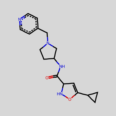 O=C(NC1CCN(Cc2ccncc2)C1)C1C=C(C2CC2)ON1